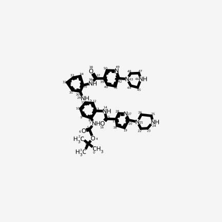 CC(C)(C)OC(=O)Nc1ccccc1NC(=O)c1ccc(N2CCNCC2)nc1.Nc1ccccc1NC(=O)c1ccc(N2CCNCC2)nc1